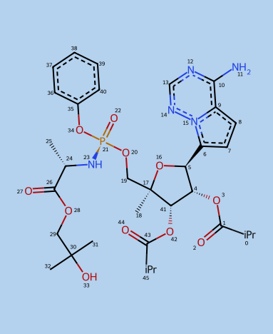 CC(C)C(=O)O[C@H]1[C@H](c2ccc3c(N)ncnn23)O[C@](C)(CO[P@](=O)(N[C@@H](C)C(=O)OCC(C)(C)O)Oc2ccccc2)[C@H]1OC(=O)C(C)C